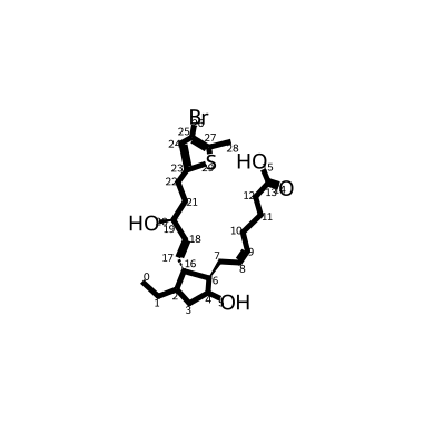 CCC1CC(O)[C@H](C/C=C\CCCC(=O)O)[C@H]1/C=C/[C@@H](O)CCc1cc(Br)c(C)s1